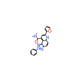 CN(C)C(=O)c1cc(-c2ccco2)nc2ccc3nn(-c4ccccc4)nc3c12